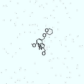 COc1ccc(COC2CCCCO2)c2cc(C=O)nn12